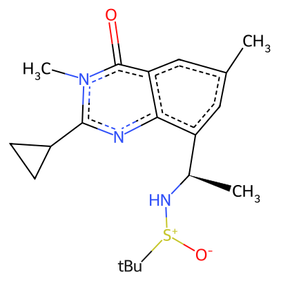 Cc1cc([C@@H](C)N[S+]([O-])C(C)(C)C)c2nc(C3CC3)n(C)c(=O)c2c1